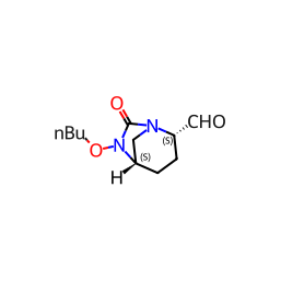 CCCCON1C(=O)N2C[C@@H]1CC[C@H]2C=O